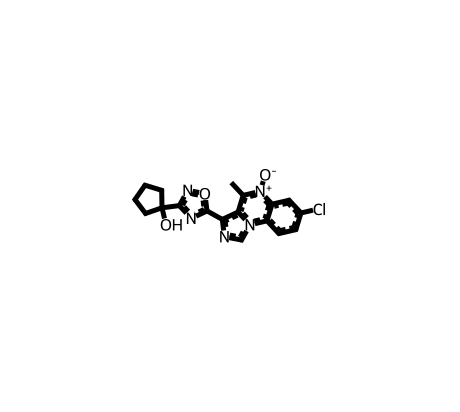 Cc1c2c(-c3nc(C4(O)CCCC4)no3)ncn2c2ccc(Cl)cc2[n+]1[O-]